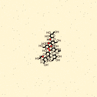 CC(=O)NC1[C@@H](OC2[C@H](O[C@@H]3C(CO[C@@H]4OC(CO)[C@@H](O)C(O)[C@@H]4O)O[C@H](OCCCS)C(O)[C@H]3O[C@@H]3OC(CO)[C@@H](O)[C@H](O)C3O)OC(CO)[C@@H](O)[C@@H]2O)OC(CO)[C@@H](O[C@@H]2OC(CO)[C@H](O[C@H]3OC(CO)[C@H](O)[C@H](O)C3O)[C@H](O)C2O)[C@@H]1O